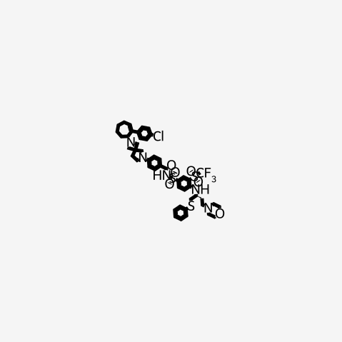 O=C(NS(=O)(=O)c1ccc(N[C@H](CCN2CCOCC2)CSc2ccccc2)c(S(=O)(=O)C(F)(F)F)c1)c1ccc(N2CCC3(C2)CN(C2CCCCC=C2c2ccc(Cl)cc2)C3)cc1